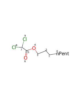 CCCCCCCCOC(=O)C(Cl)Cl